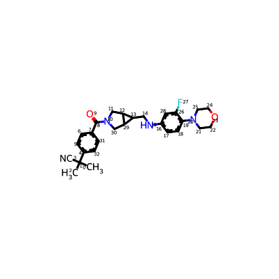 CC(C)(C#N)c1ccc(C(=O)N2CC3C(CNc4ccc(N5CCOCC5)c(F)c4)C3C2)cc1